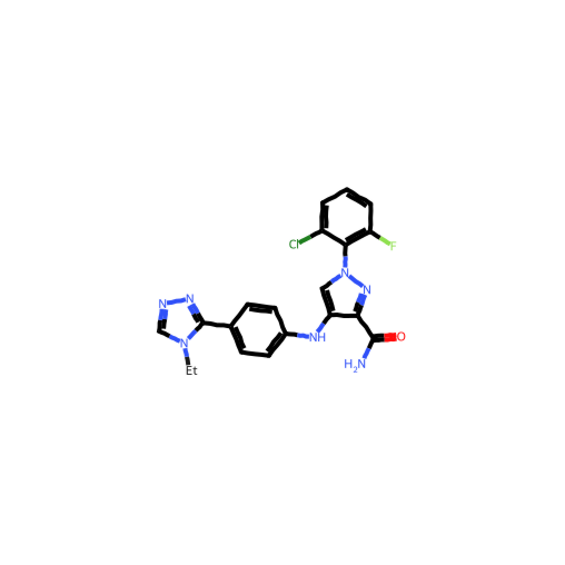 CCn1cnnc1-c1ccc(Nc2cn(-c3c(F)cccc3Cl)nc2C(N)=O)cc1